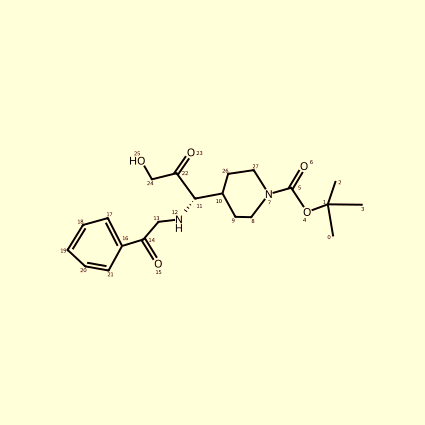 CC(C)(C)OC(=O)N1CCC([C@H](NCC(=O)c2ccccc2)C(=O)CO)CC1